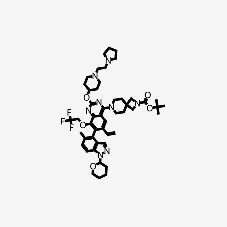 C=Cc1cc2c(N3CCC4(CC3)CN(C(=O)OC(C)(C)C)C4)nc(OC3CCN(CCN4CCCC4)CC3)nc2c(OCC(F)(F)F)c1-c1c(C)ccc2c1cnn2C1CCCCO1